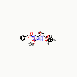 CC(C)C[C@H](NC(=O)[C@H](CNC(=O)OCc1ccccc1)NC(=O)OC(C)(C)C)B1O[C@@H]2C[C@@H]3C[C@@H](C3(C)C)[C@]2(C)O1